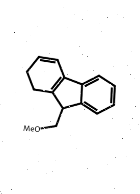 COCC1C2=C(C=CCC2)c2ccccc21